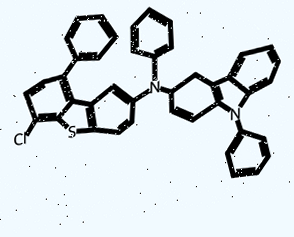 Clc1ccc(-c2ccccc2)c2c1sc1ccc(N(c3ccccc3)C3C=Cc4c(c5ccccc5n4-c4ccccc4)C3)cc12